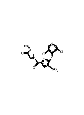 CC(C)(C)OC(=O)CNC(=O)c1cc([N+](=O)[O-])c(Sc2c(Cl)cncc2Cl)s1